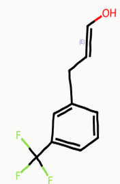 O/C=C/Cc1cccc(C(F)(F)F)c1